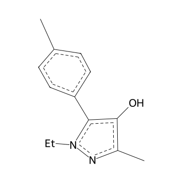 CCn1nc(C)c(O)c1-c1ccc(C)cc1